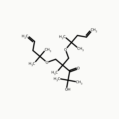 C=CCC(C)(C)OCC(C)(COC(C)(C)CC=C)C(=O)C(C)(C)O